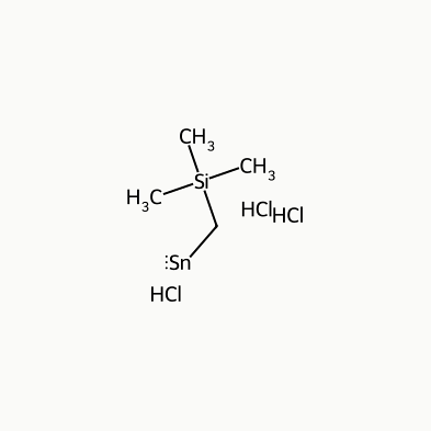 C[Si](C)(C)[CH2][Sn].Cl.Cl.Cl